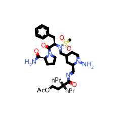 CCCC(CCC)(CCOC(C)=O)C(=O)N=CC1CC(CN([C@H](Cc2ccccc2)C(=O)N2CCC[C@H]2C(N)=O)S(C)(=O)=O)CCN1N